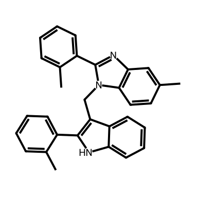 Cc1ccc2c(c1)nc(-c1ccccc1C)n2Cc1c(-c2ccccc2C)[nH]c2ccccc12